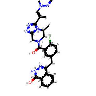 C=NN(C)/C=C(\C)c1nnc2n1C(C)CN(C(=O)c1cc(Cc3n[nH]c(=O)c4ccccc34)ccc1F)C2